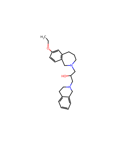 CCOc1ccc2c(c1)CCCN(CC(O)CN1CCc3ccccc3C1)C2